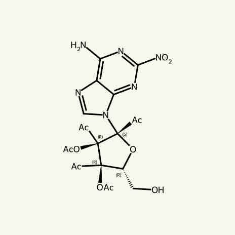 CC(=O)O[C@]1(C(C)=O)[C@@](OC(C)=O)(C(C)=O)[C@@H](CO)O[C@@]1(C(C)=O)n1cnc2c(N)nc([N+](=O)[O-])nc21